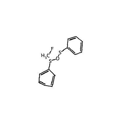 CF.c1ccc(SOSc2ccccc2)cc1